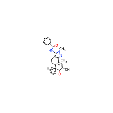 Cn1nc2c(c1NC(=O)c1ccccc1)CCC1C(C)(C)C(=O)C(C#N)=C[C@]21C